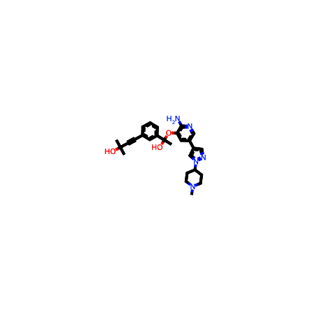 CN1CCC(n2cc(-c3cnc(N)c(OC(C)(O)c4cccc(C#CC(C)(C)O)c4)c3)cn2)CC1